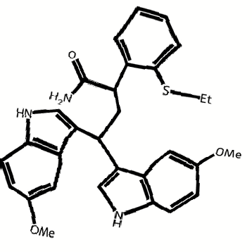 CCSc1ccccc1C(CC(c1c[nH]c2ccc(OC)cc12)c1c[nH]c2ccc(OC)cc12)C(N)=O